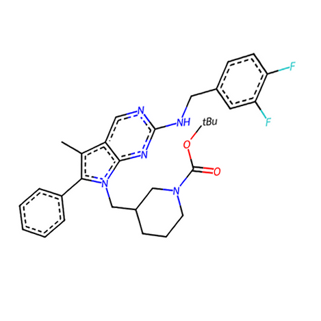 Cc1c(-c2ccccc2)n(CC2CCCN(C(=O)OC(C)(C)C)C2)c2nc(NCc3ccc(F)c(F)c3)ncc12